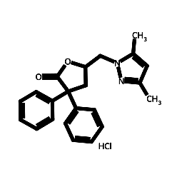 Cc1cc(C)n(CC2CC(c3ccccc3)(c3ccccc3)C(=O)O2)n1.Cl